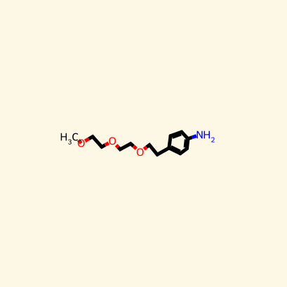 COCCOCCOCCc1ccc(N)cc1